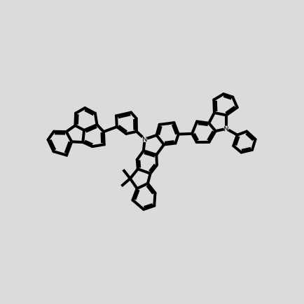 CC1(C)c2ccccc2-c2cc3c4cc(-c5ccc6c(c5)c5ccccc5n6-c5ccccc5)ccc4n(-c4cccc(-c5ccc6c7c(cccc57)-c5ccccc5-6)c4)c3cc21